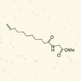 C=CCCCCCCCCC(=O)NCC(=O)OC